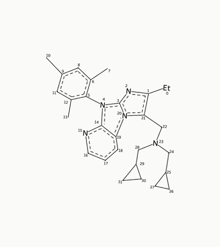 CCc1nc2n(-c3c(C)cc(C)cc3C)c3ncccc3n2c1CN(CC1CC1)CC1CC1